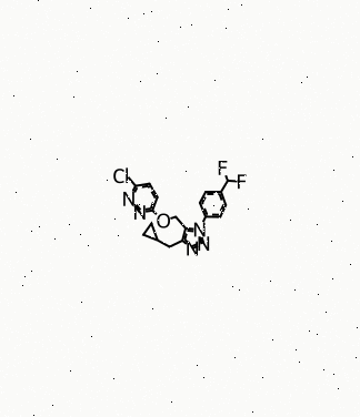 FC(F)c1ccc(-n2nnc(CC3CC3)c2COc2ccc(Cl)nn2)cc1